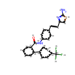 Nc1nc(/C=C/c2ccc(NC(=O)c3ccccc3-c3ccc(C(F)(F)F)cc3)cc2)cs1